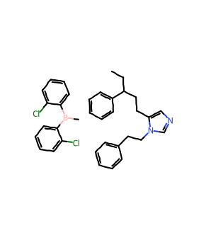 CB(c1ccccc1Cl)c1ccccc1Cl.CCC(CCc1cncn1CCc1ccccc1)c1ccccc1